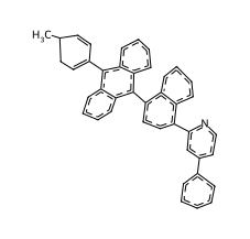 CC1C=CC(c2c3ccccc3c(-c3ccc(-c4cc(-c5ccccc5)ccn4)c4ccccc34)c3ccccc23)=CC1